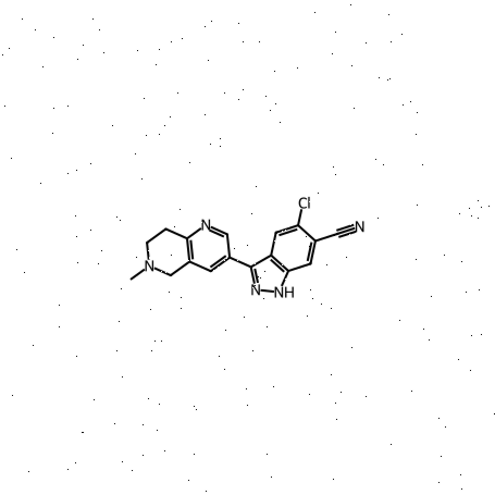 CN1CCc2ncc(-c3n[nH]c4cc(C#N)c(Cl)cc34)cc2C1